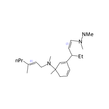 CCC/C(C)=C/CN(C)C1(C)C=C(C(/C=C\N(C)NC)CC)C=CC1